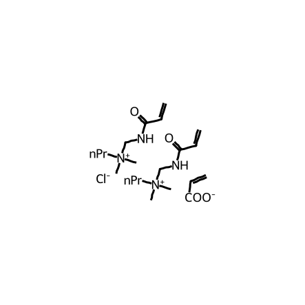 C=CC(=O)NC[N+](C)(C)CCC.C=CC(=O)NC[N+](C)(C)CCC.C=CC(=O)[O-].[Cl-]